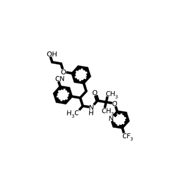 CC(NC(=O)C(C)(C)Oc1ccc(C(F)(F)F)cn1)C(Cc1cccc(OCCO)c1)c1cccc(C#N)c1